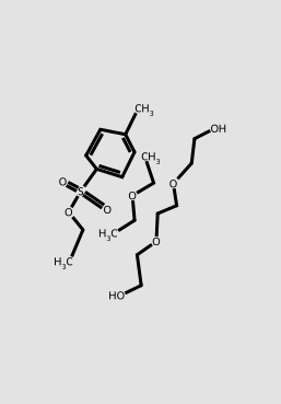 CCOCC.CCOS(=O)(=O)c1ccc(C)cc1.OCCOCCOCCO